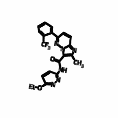 CCOc1ccc(NC(=O)c2c(C)nc3ccc(-c4ccccc4C(F)(F)F)nn23)nn1